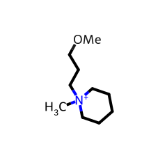 COCCC[N+]1(C)CCCCC1